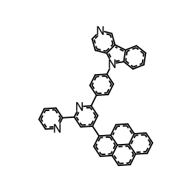 c1ccc(-c2cc(-c3ccc4ccc5cccc6ccc3c4c56)cc(-c3ccc(-n4c5ccccc5c5cnccc54)cc3)n2)nc1